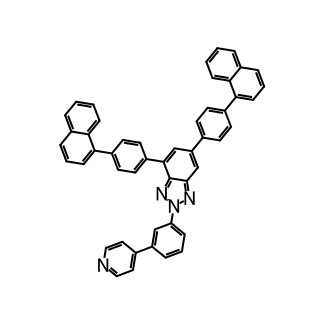 c1cc(-c2ccncc2)cc(-n2nc3cc(-c4ccc(-c5cccc6ccccc56)cc4)cc(-c4ccc(-c5cccc6ccccc56)cc4)c3n2)c1